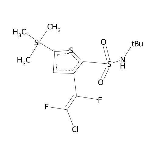 CC(C)(C)NS(=O)(=O)c1sc([Si](C)(C)C)cc1/C(F)=C(\F)Cl